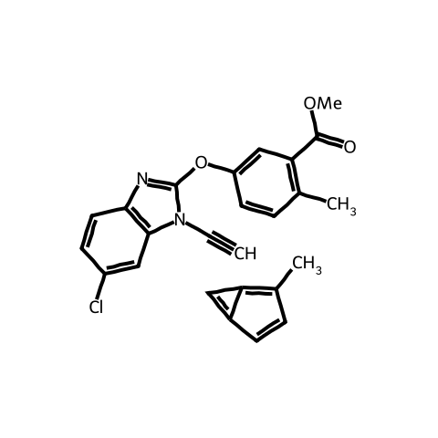 C#Cn1c(Oc2ccc(C)c(C(=O)OC)c2)nc2ccc(Cl)cc21.Cc1ccc2cc1-2